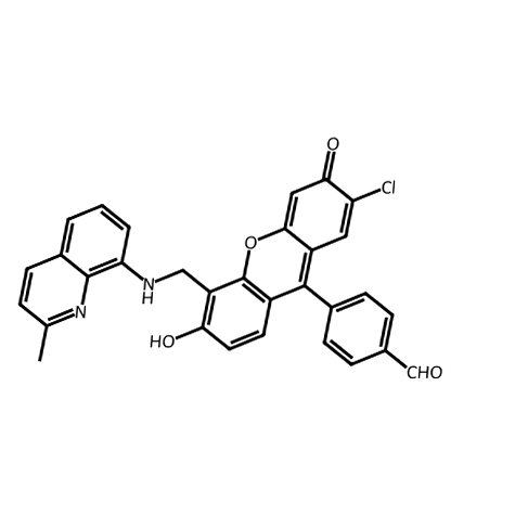 Cc1ccc2cccc(NCc3c(O)ccc4c(-c5ccc(C=O)cc5)c5cc(Cl)c(=O)cc-5oc34)c2n1